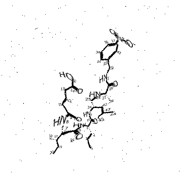 CCC[C@H](NC(=O)[C@@H](NC(=O)CCCC(=O)O)[C@@H](C)CC)C(=O)N[C@H](CN[C@@H](C)C(=O)NCc1cccc([N+](=O)[O-])c1)CC(C)C